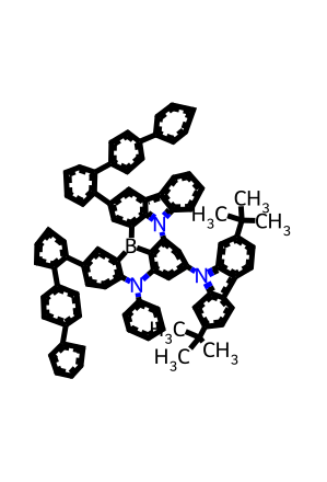 CC(C)(C)c1ccc2c3ccc(C(C)(C)C)cc3n(-c3cc4c5c(c3)-n3c6ccccc6c6cc(-c7ccccc7-c7ccc(-c8ccccc8)cc7)cc(c63)B5c3cc(-c5ccccc5-c5ccc(-c6ccccc6)cc5)ccc3N4c3ccccc3)c2c1